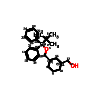 CC(C)(C)[Si](OC[C@@H]1CCC[C@H](CO)C1)(c1ccccc1)c1ccccc1